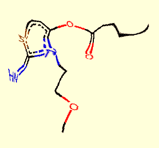 CCCC(=O)Oc1csc(=N)n1CCOC